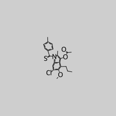 CCCc1c(OC)c(Cl)cc2c1c(OC(C)=O)c(C)n2C(=S)c1ccc(C)cc1